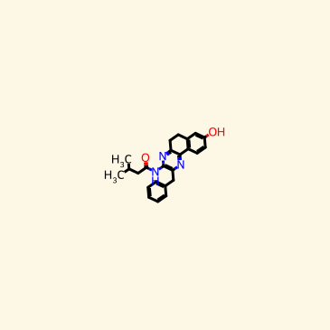 CC(C)CC(=O)Nc1nc2c(nc1Cc1ccccc1)-c1ccc(O)cc1CC2